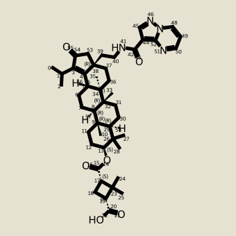 CC(C)C1=C2[C@H]3CC[C@@H]4[C@@]5(C)CC[C@H](OC(=O)[C@H]6C[C@@H](C(=O)O)C6(C)C)C(C)(C)[C@@H]5CC[C@@]4(C)[C@]3(C)CC[C@@]2(CCNC(=O)c2cnn3cccnc23)CC1=O